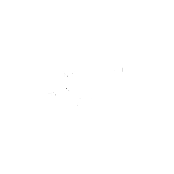 CCCCCC[C@H](C(=O)O)N1CNC=C1[N+](=O)[O-]